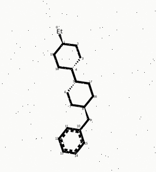 CC[C@H]1CC[C@H]([C@H]2CC[C@H](Cc3ccccc3)CC2)CC1